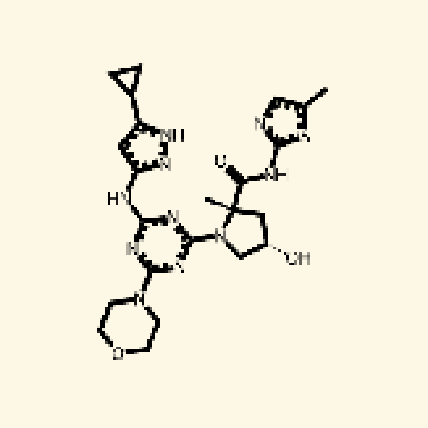 Cc1cnc(NC(=O)[C@]2(C)C[C@H](O)CN2c2nc(Nc3cc(C4CC4)[nH]n3)nc(N3CCOCC3)n2)s1